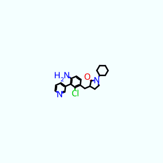 Nc1ccc(CC2CCN(C3CCCCC3)C2=O)c(Cl)c1-c1cccnc1